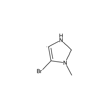 CN1CN[C]=C1Br